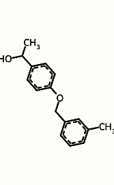 Cc1cccc(COc2ccc(C(C)O)cc2)c1